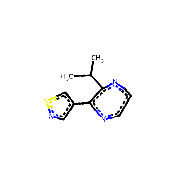 CC(C)c1nccnc1-c1cnsc1